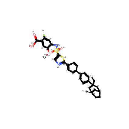 CCC1(c2ccc(-c3ccc(-c4ncc(S(=O)(=O)Nc5cc(F)c(C(=O)O)cc5OC)s4)cc3)cc2)CC2CC[C@@H](C2)C1